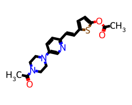 CC(=O)Oc1ccc(C=Cc2ccc(N3CCN(C(C)=O)CC3)cn2)s1